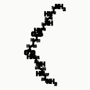 NCCNCCNCCNOC(=O)CCCCC(=O)ONCCNCCNCCN